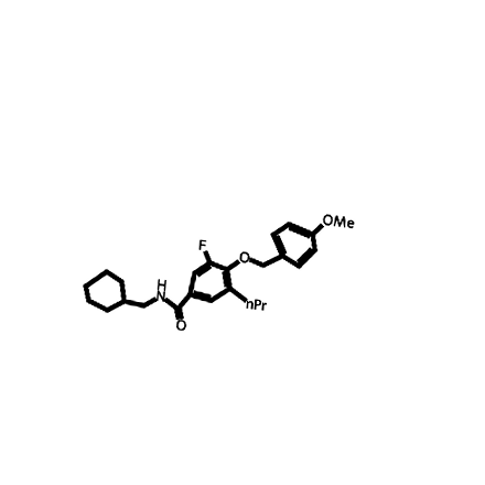 CCCc1cc(C(=O)NCC2CCCCC2)cc(F)c1OCc1ccc(OC)cc1